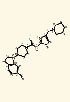 O=C(Nc1nc(CN2CCCCC2)cs1)N1CCC(N2CCc3ccc(F)cc32)CC1